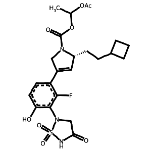 CC(=O)OC(C)OC(=O)N1CC(c2ccc(O)c(N3CC(=O)NS3(=O)=O)c2F)=C[C@H]1CCC1CCC1